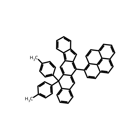 Cc1ccc(C2(c3ccc(C)cc3)c3ccccc3C=c3c2cc2c(c3-c3ccc4ccc5cccc6ccc3c4c56)C=c3ccccc3=2)cc1